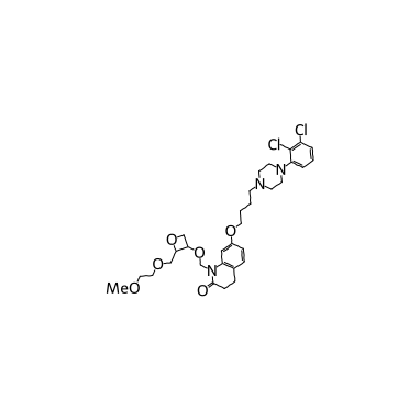 COCCOCC1OCC1OCN1C(=O)CCc2ccc(OCCCCN3CCN(c4cccc(Cl)c4Cl)CC3)cc21